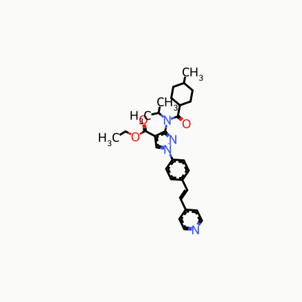 CCOC(=O)c1cn(-c2ccc(C=Cc3ccncc3)cc2)nc1N(C(=O)C1CCC(C)CC1)C(C)C